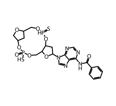 O=C(Nc1ncnc2c1ncn2C1CC2O[PH](=S)OCC3CC(CO3)OP(=O)(S)OCC2O1)c1ccccc1